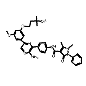 COc1cc(OCCC(C)(C)O)cc(-c2cnc(N)c(-c3ccc(NC(=O)c4c(C)n(C)n(-c5ccccc5)c4=O)cc3)n2)c1